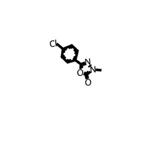 Cn1nc(-c2ccc(Cl)cc2)oc1=O